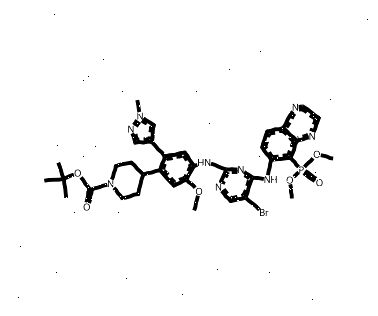 COc1cc(C2CCN(C(=O)OC(C)(C)C)CC2)c(-c2cnn(C)c2)cc1Nc1ncc(Br)c(Nc2ccc3nccnc3c2P(=O)(OC)OC)n1